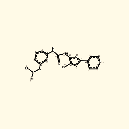 CCN(CC)Cc1cccc(NC(=O)Nc2nc(-c3ccncc3)sc2Br)n1